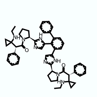 CCNC1([C@H](C(=O)N2CCC[C@H]2c2ncc(-c3cccc(-c4ccccc4)c3-c3cnc([C@@H]4CCCN4C(=O)[C@H](c4ccccc4)C4(NCC)CC4)[nH]3)[nH]2)c2ccccc2)CC1